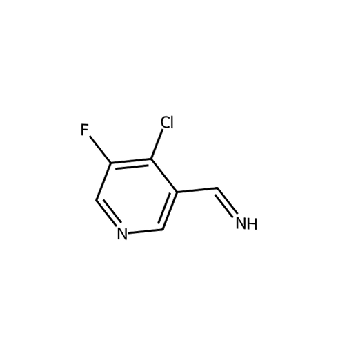 N=Cc1cncc(F)c1Cl